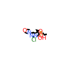 C=CCS(=O)(=O)C(CO)C1(c2cc(N3CCOCC3)nc(Cl)n2)CC1